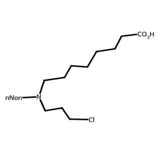 CCCCCCCCCN(CCCCl)CCCCCCCC(=O)O